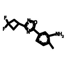 Cc1ccc(-c2nc(C3CC(F)(F)C3)no2)cc1N